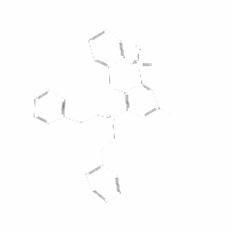 NS(=O)(=O)c1cc(C(=O)O)cc(N(CCc2ccccc2)CCc2ccccc2)c1Oc1ccccc1